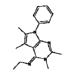 CC/N=c1\c2c(C)c(C)n(-c3ccccc3)c2nc(C)n1C